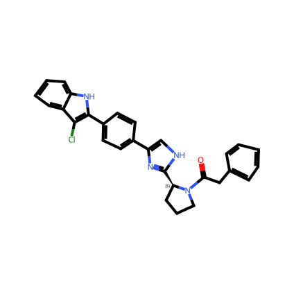 O=C(Cc1ccccc1)N1CCC[C@H]1c1nc(-c2ccc(-c3[nH]c4ccccc4c3Cl)cc2)c[nH]1